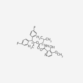 COc1ccnc(C(=O)N[C@H](C(=O)O[C@@H](C)C(c2ccc(F)cc2)c2ccc(F)cc2)C(C)C)c1O